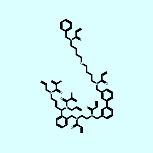 C=CCN(C/C=C/C(c1ccccc1CN(CCN(Cc1cccc(-c2cccc(CN(CCCCOCCCCN(Cc3ccccc3)C(=O)C=C)C(=O)C=C)c2)c1)C(=O)C=C)C(=O)C=C)N(CC=C)C(=O)C(=C)C)C(=O)C(=C)C